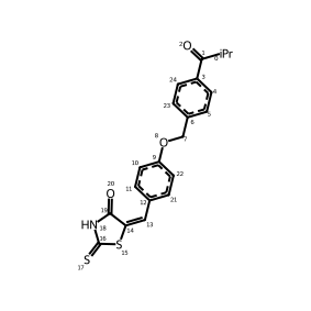 CC(C)C(=O)c1ccc(COc2ccc(C=C3SC(=S)NC3=O)cc2)cc1